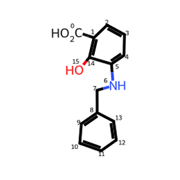 O=C(O)c1cccc(NCc2ccccc2)c1O